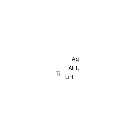 [Ag].[AlH3].[LiH].[Ti]